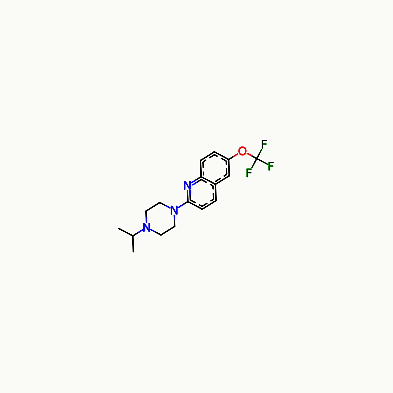 CC(C)N1CCN(c2ccc3cc(OC(F)(F)F)ccc3n2)CC1